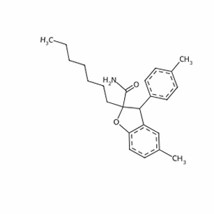 CCCCCCCC1(C(N)=O)Oc2ccc(C)cc2C1c1ccc(C)cc1